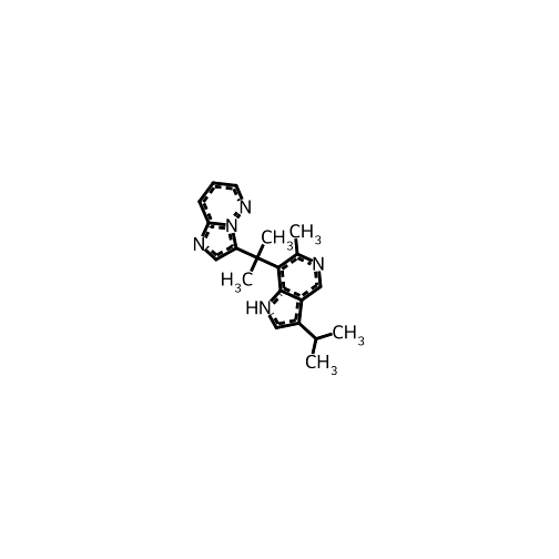 Cc1ncc2c(C(C)C)c[nH]c2c1C(C)(C)c1cnc2cccnn12